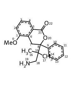 COc1cccc2c1CC(c1ccccc1)(C(C)(C)CN)OC2=O